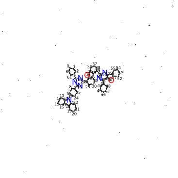 c1ccc(-c2nc(-c3ccc(-n4c5ccccc5c5ccccc54)cc3)nc(-c3cccc4c3oc3cccc(-c5nc(-c6ccccc6)c6oc7ccccc7c6n5)c34)n2)cc1